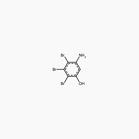 Nc1cc(O)c(Br)c(Br)c1Br